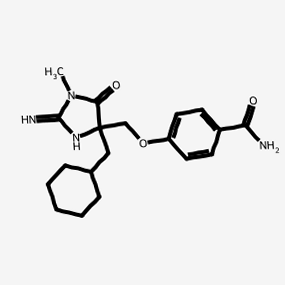 CN1C(=N)NC(COc2ccc(C(N)=O)cc2)(CC2CCCCC2)C1=O